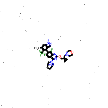 Cc1cc2[nH]ncc2c(-c2c(F)cc3c(N4CC5CCC(C4)N5)nc(OCC4(CN5CCOCC5)CC4)nc3c2F)c1C(F)(F)F